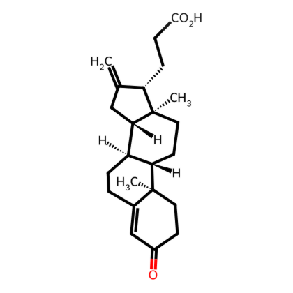 C=C1C[C@H]2[C@@H]3CCC4=CC(=O)CC[C@]4(C)[C@H]3CC[C@]2(C)[C@H]1CCC(=O)O